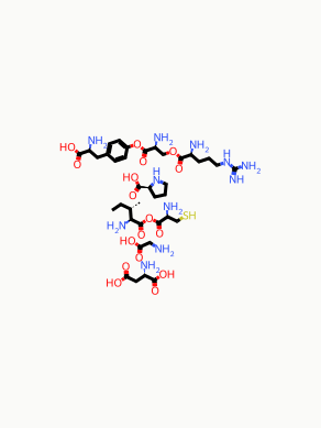 CC[C@H](C)[C@H](N)C(=O)OC(=O)[C@@H](N)CS.N=C(N)NCCC[C@H](N)C(=O)OC[C@H](N)C(=O)Oc1ccc(C[C@H](N)C(=O)O)cc1.NCC(=O)O.N[C@@H](CC(=O)O)C(=O)O.O=C(O)[C@@H]1CCCN1